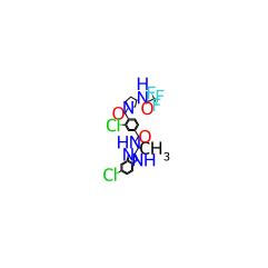 CC(NC(=O)c1ccc(C(=O)N2CCC(NC(=O)C(F)(F)F)C2)c(Cl)c1)c1nc2cc(Cl)ccc2[nH]1